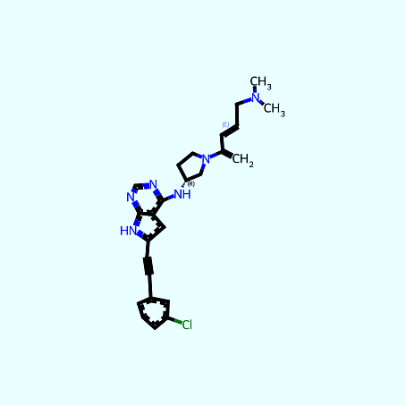 C=C(/C=C/CN(C)C)N1CC[C@@H](Nc2ncnc3[nH]c(C#Cc4cccc(Cl)c4)cc23)C1